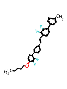 C=CCCCOc1ccc(-c2ccc(/C=C/c3ccc(-c4ccc(C)cc4)c(F)c3F)cc2)c(F)c1F